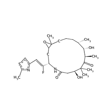 Cc1nc(C=C(F)[C@@H]2CC3OC3(C)CCC[C@H](C)[C@H](O)[C@@H](C)C(=O)C(C)(C)[C@@H](O)CC(=O)N2)cs1